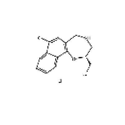 CC[C@@H]1CNCc2cc(Cl)c3ccccc3c2O1.Cl